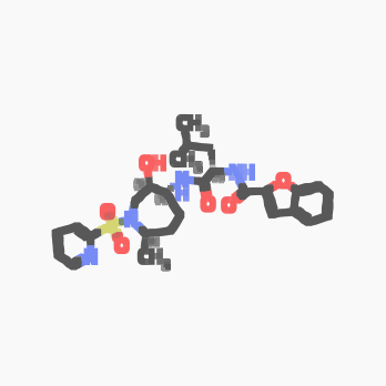 CC(C)C[C@H](NC(=O)c1cc2ccccc2o1)C(=O)N[C@@H]1CC[C@@H](C)N(S(=O)(=O)c2ccccn2)C[C@H]1O